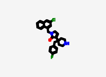 O=C1C(C2(Cc3ccc(F)cc3)CCNCC2)=CCN1Cc1cc(Cl)cc2ccccc12